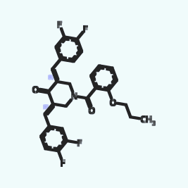 CCCOc1ccccc1C(=O)N1C/C(=C\c2ccc(F)c(F)c2)C(=O)/C(=C/c2ccc(F)c(F)c2)C1